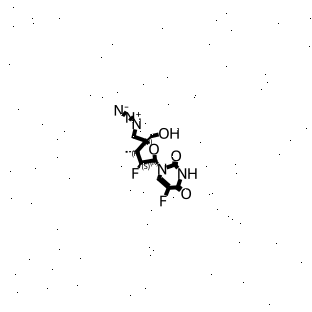 C[C@H]1[C@H](F)[C@H](n2cc(F)c(=O)[nH]c2=O)O[C@@]1(CO)CN=[N+]=[N-]